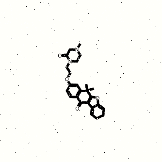 CN1CCN(CCOc2ccc3c(c2)C(C)(C)c2oc4c(c2C3=O)=CCCC=4)C(=O)C1